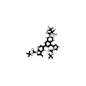 Cc1cn(C(=O)OC(C)(C)C)c2ncc(-c3cc4c(c(C5CCCN5C(=O)OC(C)(C)C)c3)CCN(C(=O)C(C)(O)C(F)(F)F)C4)cc12